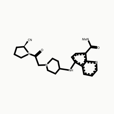 CNC(=O)c1ccc(NC2CCN(CC(=O)N3CCC[C@H]3C#N)CC2)c2cccnc12